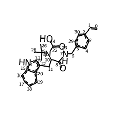 C=Cc1ccc(CNC(=O)C(Cc2c[nH]c3ccccc23)N(C(=O)O)C(C)(C)C)cc1